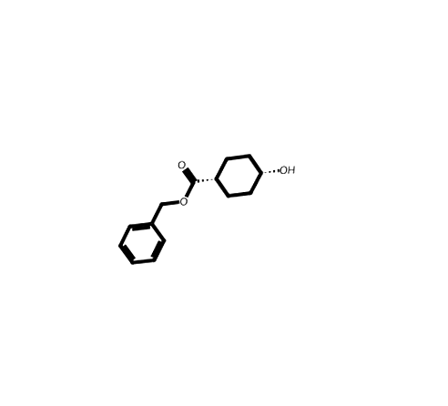 O=C(OCc1ccccc1)[C@H]1CC[C@@H](O)CC1